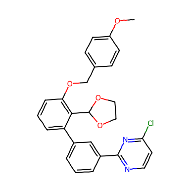 COc1ccc(COc2cccc(-c3cccc(-c4nccc(Cl)n4)c3)c2C2OCCO2)cc1